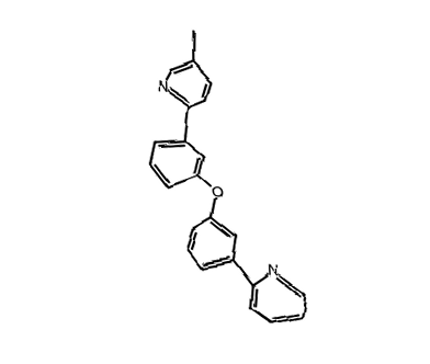 Cc1ccc(-c2cccc(Oc3cccc(-c4ccccn4)c3)c2)nc1